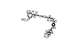 C=Nc1nc(N)[nH]c(=O)c1/N=C(\C)CNc1ccc(C(=O)N[C@H](C)CCC(=O)NCCOCCOCCNC(=O)CN2CCN(CC(=O)O)CCN(CC(=O)O)CC2)cc1